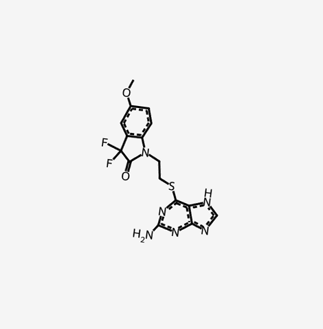 COc1ccc2c(c1)C(F)(F)C(=O)N2CCSc1nc(N)nc2nc[nH]c12